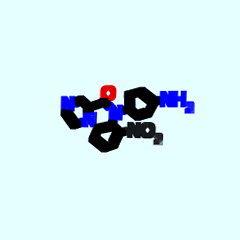 Nc1ccc(N(C(=O)c2cnccn2)c2ccccc2[N+](=O)[O-])cc1